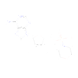 Nc1ncnc2c1ncn2[C@@H]1O[C@H](COP(=O)(O)N2CCOCC2)[C@H](O)[C@@H]1O